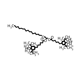 CCCCCCCCCCCCCCCCCCOCC(COC(=O)CCCCCc1cc(C(C)(C)C)c(O)c(C(C)(C)C)c1)OC(=O)CCCCCc1cc(C(C)(C)C)c(O)c(C(C)(C)C)c1